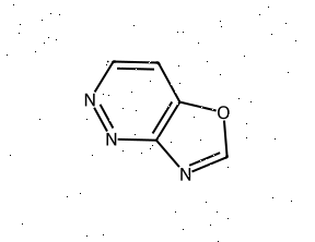 [c]1cc2ocnc2nn1